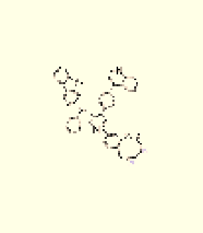 C=C1/C=C\C=C/Cc2ccc(-c3cc(-c4ccc(-c5ccnc6ccccc56)cc4)c4cc(-c5ccc6c(c5)C(C)(C)c5ccccc5-6)c5ccccc5c4n3)cc2C1(C)C